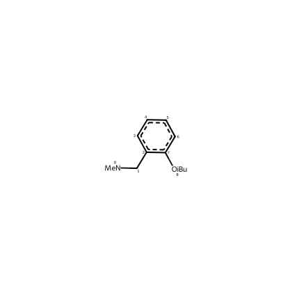 CNCc1ccccc1OCC(C)C